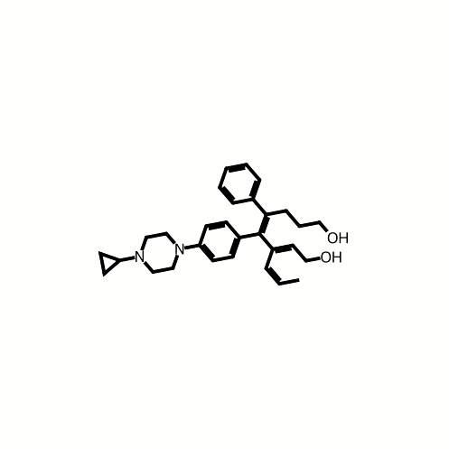 C\C=C/C(=C\CO)C(=C(\CCCO)c1ccccc1)/c1ccc(N2CCN(C3CC3)CC2)cc1